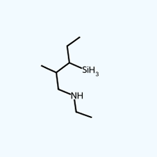 CCNCC(C)C([SiH3])CC